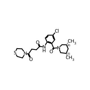 C[C@@H]1C[C@H](C)CN(C(=O)c2cc(Cl)ccc2NC(=O)CCC(=O)N2CCSCC2)C1